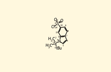 CC(C)(C)[Si](C)(C)n1ccc2ccc(S(=O)(=O)Cl)cc21